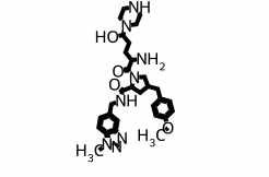 COc1ccc(CC2CC(C(=O)NCc3ccc4c(c3)nnn4C)N(C(=O)C(N)CCC(O)N3CCNCC3)C2)cc1